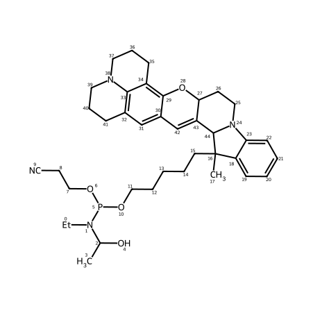 CCN(C(C)O)P(OCCC#N)OCCCCCC1(C)c2ccccc2N2CCC3Oc4c(cc5c6c4CCCN6CCC5)C=C3C21